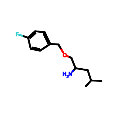 CC(C)CC(N)COCc1ccc(F)cc1